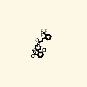 CN1C(=O)c2cccc(Cl)c2C12CCN(C(=O)CCc1ccccc1C(F)(F)F)CC2